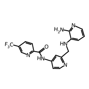 Nc1ncccc1NCc1cc(NC(=O)c2ccc(C(F)(F)F)cn2)ccn1